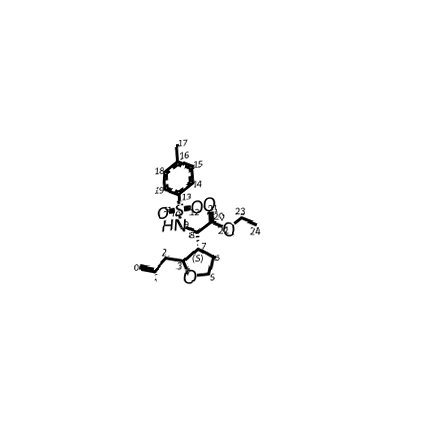 C=CCC1OCC[C@H]1C(NS(=O)(=O)c1ccc(C)cc1)C(=O)OCC